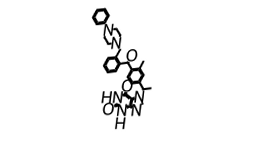 Cc1cc(C(C)n2cnc3[nH]c(=O)[nH]c(=O)c32)ccc1C(=O)c1ccccc1CN1CCN(c2ccccc2)CC1